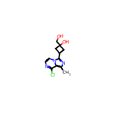 Cc1nc(C2CC(O)(CO)C2)n2ccnc(Cl)c12